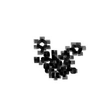 COC(=O)[C@@H](NC(=O)[C@@H]1CN(Cc2ccccc2)CC12CN(C(=O)[C@H]1CC1(C)C)C2)[C@@H](C)OCC1CCCCC1